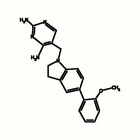 COc1ccccc1-c1ccc2c(c1)CCN2Cc1cnc(N)nc1N